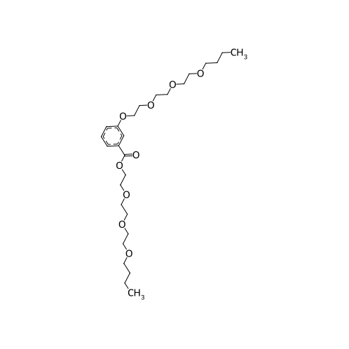 CCCCOCCOCCOCCOC(=O)c1cccc(OCCOCCOCCOCCCC)c1